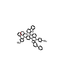 CCC1=C(N(c2ccc3c(c2)N(c2cccc4c2oc2ccccc24)c2cccc4c2B3c2sc3ccc(-c5ccccc5)cc3c2N4c2ccc(C(C)(C)C)cc2)c2ccc(C(C)(C)C)cc2-c2ccccc2)CCCC1